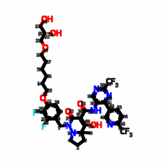 CC12CCCN1N(Cc1ccc(OCCCCCCOC[C@@H](O)CO)c(F)c1F)C(=O)C(C(=O)Nc1cnc(C(F)(F)F)nc1-c1ccc(C(F)(F)F)nc1)=C2O